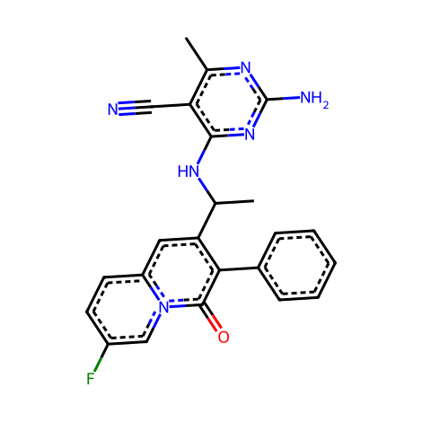 Cc1nc(N)nc(NC(C)c2cc3ccc(F)cn3c(=O)c2-c2ccccc2)c1C#N